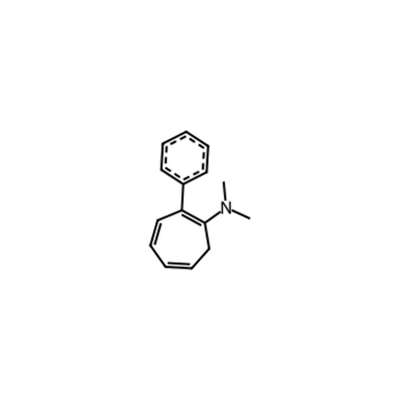 CN(C)C1=C(c2ccccc2)C=CC=CC1